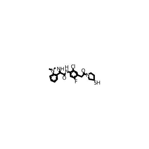 CN(C)c1ccccc1C(=N)C(=O)Nc1cc(F)c(CC(=O)N2CC[C@H](S)C2)cc1Cl